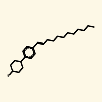 CCCCCCCCCC/C=C/c1ccc(C2CCC(F)CC2)cc1